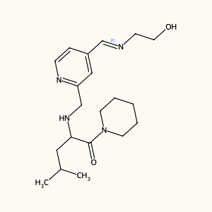 CC(C)CC(NCc1cc(/C=N/CCO)ccn1)C(=O)N1CCCCC1